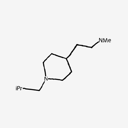 CNCCC1CCN(CC(C)C)CC1